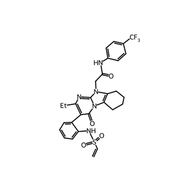 C=CS(=O)(=O)Nc1ccccc1-c1c(CC)nc2n(CC(=O)Nc3ccc(C(F)(F)F)cc3)c3c(n2c1=O)CCCC3